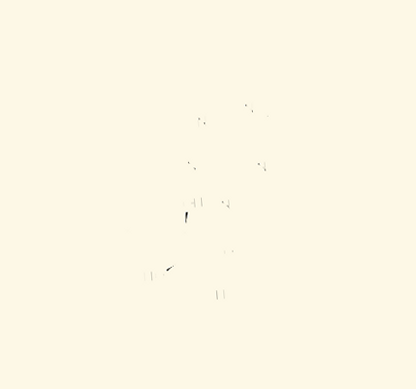 C#C[C@@]1(O)[C@H](O)[C@@H](C)O[C@H]1n1cnc2c(N)ncnc21